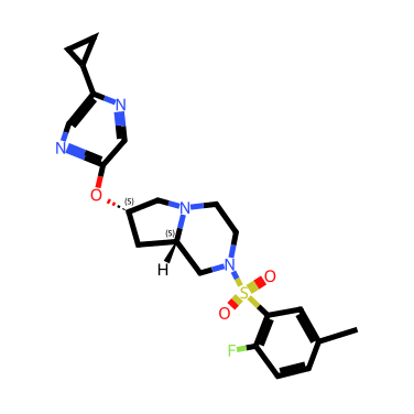 Cc1ccc(F)c(S(=O)(=O)N2CCN3C[C@@H](Oc4cnc(C5CC5)cn4)C[C@H]3C2)c1